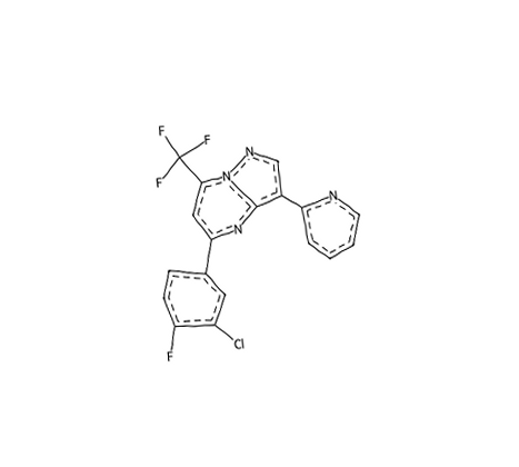 Fc1ccc(-c2cc(C(F)(F)F)n3ncc(-c4ccccn4)c3n2)cc1Cl